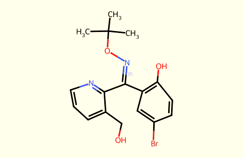 CC(C)(C)O/N=C(/c1cc(Br)ccc1O)c1ncccc1CO